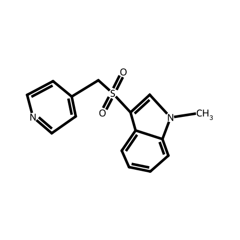 Cn1cc(S(=O)(=O)Cc2ccncc2)c2ccccc21